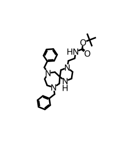 CC(C)(C)OC(=O)NCCN1CCNC2(C1)CN(Cc1ccccc1)CCN(Cc1ccccc1)C2